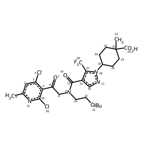 Cc1cc(Cl)c(C(=O)CN(CCOCC(C)C)C(=O)c2cnn(C3CCC(C)(C(=O)O)CC3)c2C(F)(F)F)c(Cl)n1